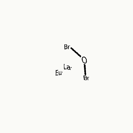 BrOBr.[Eu].[La]